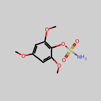 COc1cc(OC)c(OS(N)(=O)=O)c(OC)c1